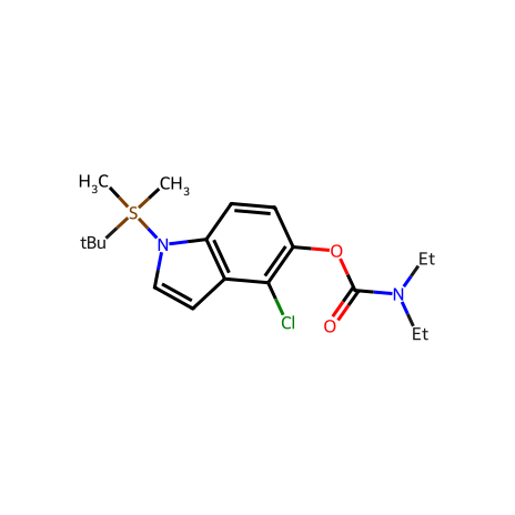 CCN(CC)C(=O)Oc1ccc2c(ccn2S(C)(C)C(C)(C)C)c1Cl